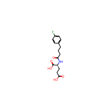 O=C(O)CC[C@H](NC(=O)CCCc1ccc(F)cc1)C(=O)O